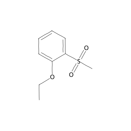 CCOc1ccccc1S(C)(=O)=O